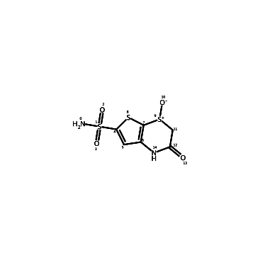 NS(=O)(=O)c1cc2c(s1)[S+]([O-])CC(=O)N2